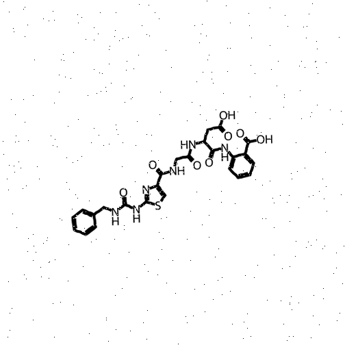 O=C(O)CC(NC(=O)CNC(=O)c1csc(NC(=O)NCc2ccccc2)n1)C(=O)Nc1ccccc1C(=O)O